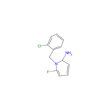 NC1C=CC=C(F)N1Cc1ccccc1Cl